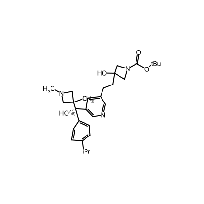 CC(C)c1ccc([C@](O)(c2cncc(CCC3(O)CN(C(=O)OC(C)(C)C)C3)c2)C2(C)CN(C)C2)cc1